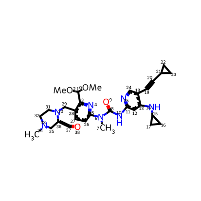 COC(OC)c1nc(N(C)C(=O)Nc2cc(NC3CC3)c(C#CC3CC3)cn2)ccc1CN1CCN(C)CC1=C=O